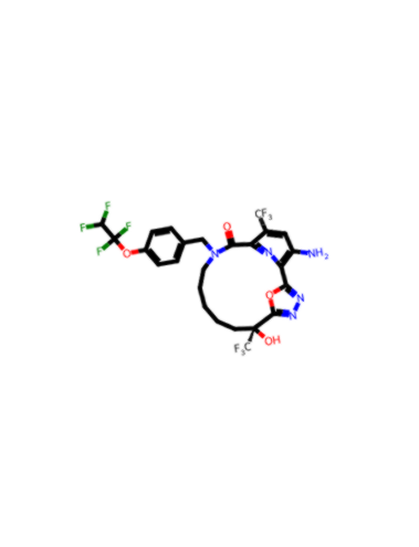 Nc1cc(C(F)(F)F)c2nc1-c1nnc(o1)[C@@](O)(C(F)(F)F)CCCCCN(Cc1ccc(OC(F)(F)C(F)F)cc1)C2=O